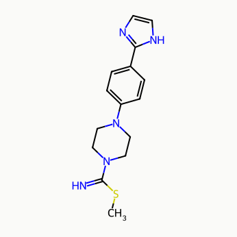 CSC(=N)N1CCN(c2ccc(-c3ncc[nH]3)cc2)CC1